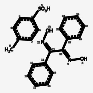 Cc1ccc(S(=O)(=O)O)cc1.ON=C(C(=NO)c1ccccc1)c1ccccc1